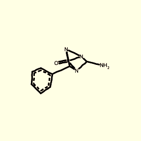 NC1N2C(c3ccccc3)N3N1P23=O